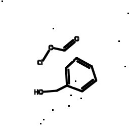 O=COCl.OCc1ccccc1